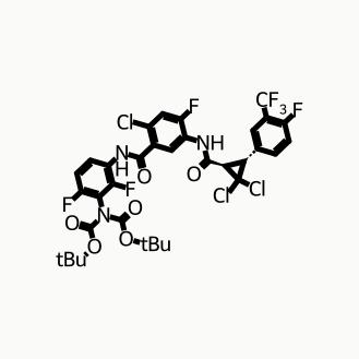 CC(C)(C)OC(=O)N(C(=O)OC(C)(C)C)c1c(F)ccc(NC(=O)c2cc(NC(=O)[C@H]3[C@H](c4ccc(F)c(C(F)(F)F)c4)C3(Cl)Cl)c(F)cc2Cl)c1F